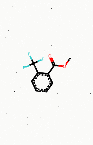 COC(=O)c1ccccc1C(F)(F)F